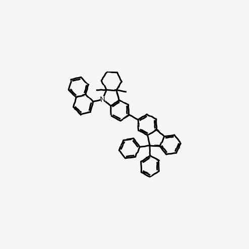 CC12CCCCC1(C)N(c1cccc3ccccc13)c1ccc(-c3ccc4c(c3)C(c3ccccc3)(c3ccccc3)c3ccccc3-4)cc12